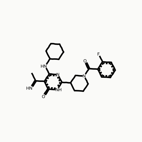 CC(=N)c1c(NC2CCCCC2)nc(C2CCCN(C(=O)c3ccccc3F)C2)[nH]c1=O